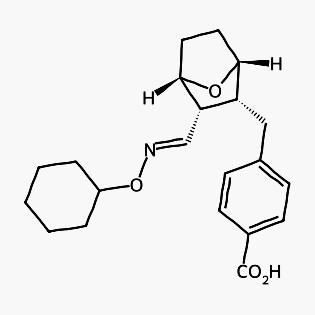 O=C(O)c1ccc(C[C@@H]2[C@H](C=NOC3CCCCC3)[C@@H]3CC[C@H]2O3)cc1